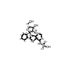 O=S(=O)(O)Nc1ncnc2c1ncn2[C@]1(c2ccccc2)O[C@H](CO)[C@@H](O)[C@H]1O